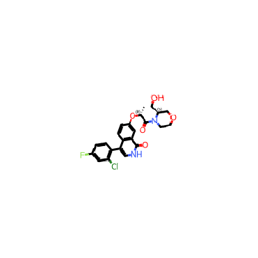 C[C@@H](Oc1ccc2c(-c3ccc(F)cc3Cl)c[nH]c(=O)c2c1)C(=O)N1CCOC[C@@H]1CO